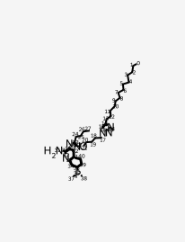 CCCCCCCCCCCCCCc1cn(CCCCOn2c(CCCC)nc3c(N)nc4cc(P(C)C)ccc4c32)nn1